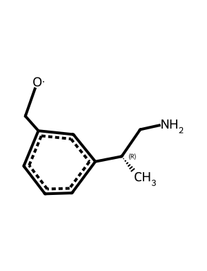 C[C@@H](CN)c1cccc(C[O])c1